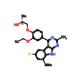 CNc1cc(F)cc2c1[nH]c1nc(C)nc(-c3ccc(OC[C@H](O)C(C)(C)C)c(OCC#N)c3)c12